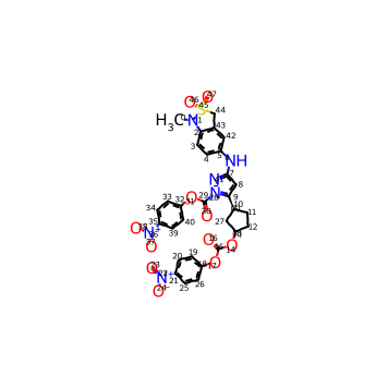 CN1c2ccc(Nc3cc([C@H]4CC[C@@H](OC(=O)Oc5ccc([N+](=O)[O-])cc5)C4)n(C(=O)Oc4ccc([N+](=O)[O-])cc4)n3)cc2CS1(=O)=O